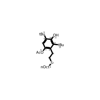 CCCCCCCCSCCc1c(OC(C)=O)cc(C(C)(C)C)c(O)c1C(C)(C)C